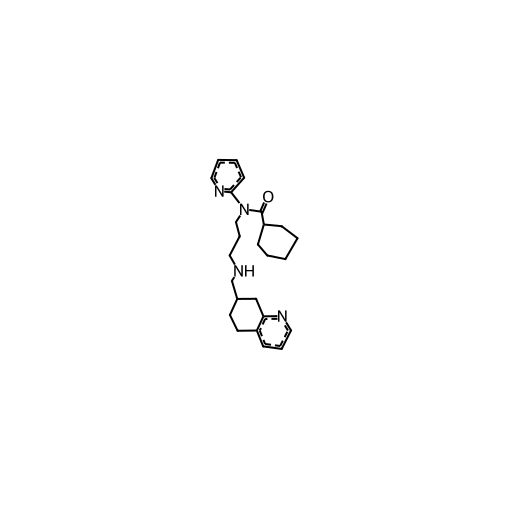 O=C(C1CCCCC1)N(CCCNCC1CCc2cccnc2C1)c1ccccn1